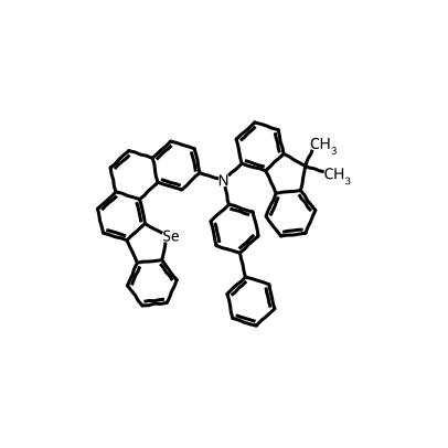 CC1(C)c2ccccc2-c2c(N(c3ccc(-c4ccccc4)cc3)c3ccc4ccc5ccc6c7ccccc7[se]c6c5c4c3)cccc21